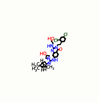 C[C@@H]1C(/N=C(/Nc2ccc3c(=O)n(CCc4ccc(Cl)cc4Cl)c(NCCO)nc3c2)N2CC(O)C2)C[C@@H]2C[C@H]1C2(C)C